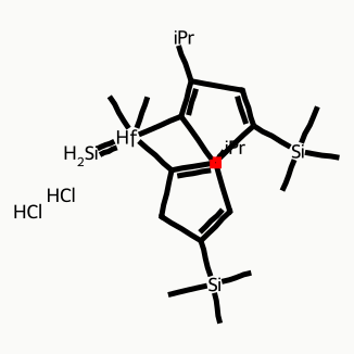 CC(C)C1=[C]([Hf]([CH3])([CH3])(=[SiH2])[C]2=C(C(C)C)C=C([Si](C)(C)C)C2)CC([Si](C)(C)C)=C1.Cl.Cl